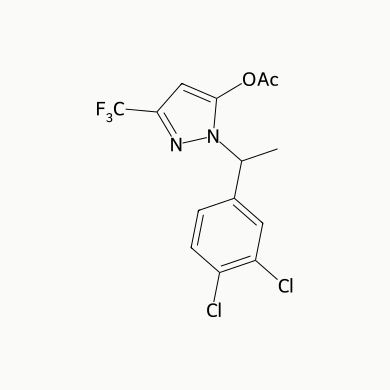 CC(=O)Oc1cc(C(F)(F)F)nn1C(C)c1ccc(Cl)c(Cl)c1